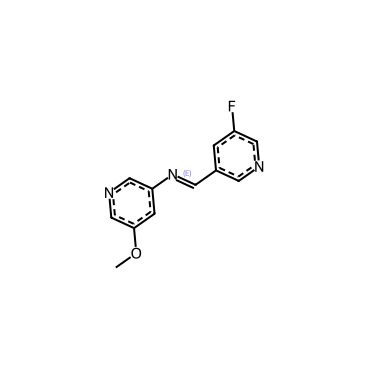 COc1cncc(/N=C/c2cncc(F)c2)c1